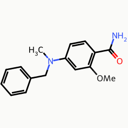 COc1cc(N(C)Cc2ccccc2)ccc1C(N)=O